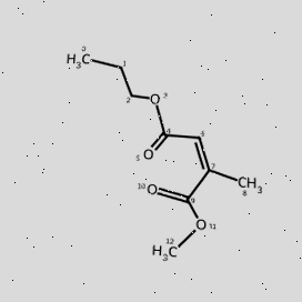 CCCOC(=O)C=C(C)C(=O)OC